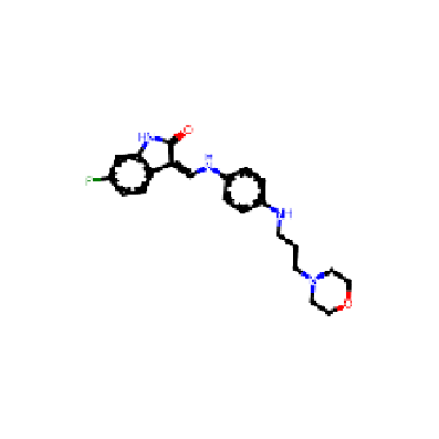 O=C1Nc2cc(F)ccc2C1=CNc1ccc(NCCCN2CCOCC2)cc1